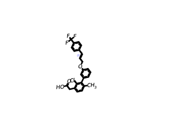 Cc1ccc(CC(=O)O)c(Cl)c1-c1cccc(OC/C=C/c2ccc(C(F)(F)F)cc2)c1